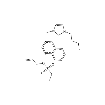 C=CCOS(=O)(=O)CC.CCCCN1C=CN(C)C1.c1ccc2ncccc2c1